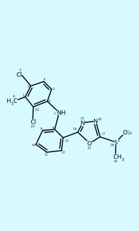 Cc1c(Cl)ccc(Nc2ccccc2-c2nnc([S+](C)[O-])o2)c1Cl